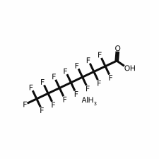 O=C(O)C(F)(F)C(F)(F)C(F)(F)C(F)(F)C(F)(F)C(F)(F)C(F)(F)F.[AlH3]